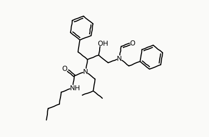 CCCCNC(=O)N(CC(C)C)C(Cc1ccccc1)C(O)CN(C=O)Cc1ccccc1